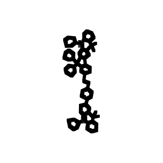 CC1(C)c2ccccc2N(c2ccccc2)c2ccc(-c3ccc(/C=C/c4ccc5c(c4)C(c4ccccc4)(c4ccccc4)c4cc6c(cc4-5)C(C)(C)c4ccccc4N6c4ccccc4)cc3)cc21